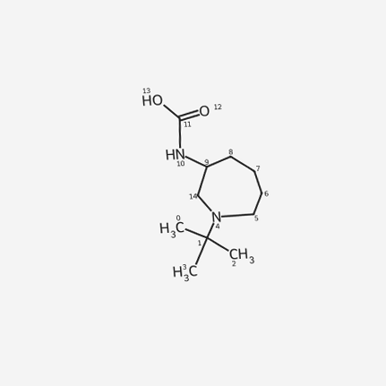 CC(C)(C)N1CCCCC(NC(=O)O)C1